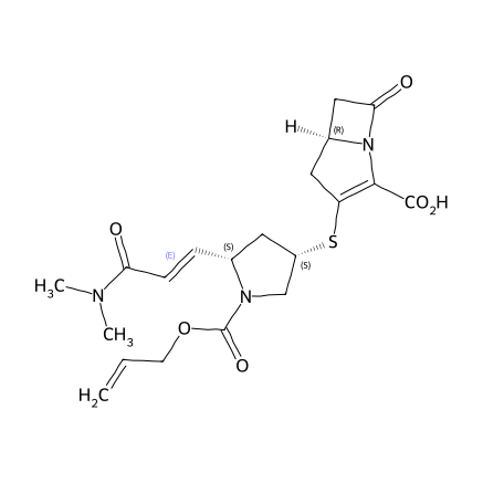 C=CCOC(=O)N1C[C@@H](SC2=C(C(=O)O)N3C(=O)C[C@@H]3C2)C[C@H]1/C=C/C(=O)N(C)C